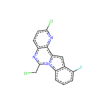 Fc1cccc2c1cc1c3nc(Cl)ccc3nc(CCl)n21